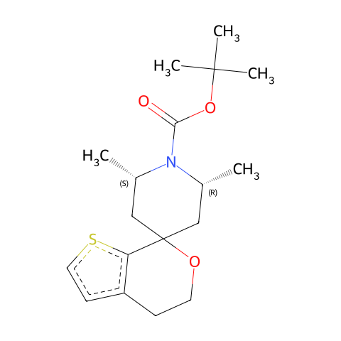 C[C@@H]1CC2(C[C@H](C)N1C(=O)OC(C)(C)C)OCCc1ccsc12